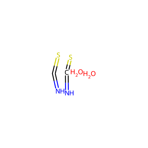 N=C=S.N=C=S.O.O